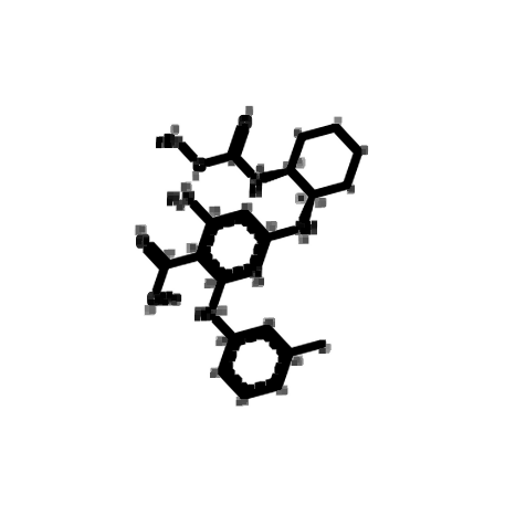 CCCCOC(=O)N[C@H]1CCCC[C@H]1Nc1cc(N)c(C(=O)OC)c(Nc2cccc(C)c2)n1